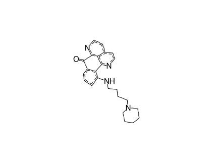 O=C1c2cccc(NCCCCN3CCCCC3)c2-c2nccc3ccnc1c23